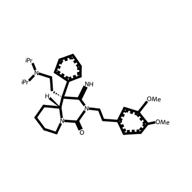 COc1ccc(CCN2C(=N)[C@](CCN(C(C)C)C(C)C)(c3ccccc3)[C@H]3CCCCN3C2=O)cc1OC